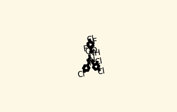 O=S(=O)(NCC1=NN(c2ccc(Cl)cc2Cl)C(c2ccc(Cl)cc2)C1)c1cc(F)c(Cl)cc1F